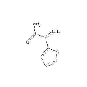 C=C(C(N)=O)c1cccs1